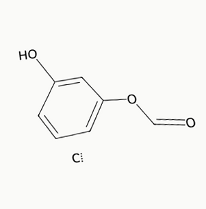 O=COc1cccc(O)c1.[C]